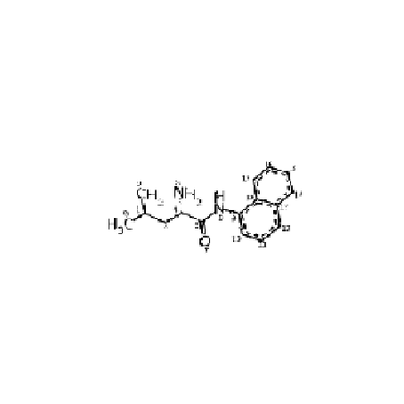 CC(C)C[C@H](N)C(=O)Nc1cccc2ccccc12